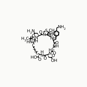 CC(=O)N[C@@H]1CSSC[C@H](C(=O)O)NC(=O)[C@H](CC(=O)O)NC(=O)CNC(=O)C(Cc2ccc(CN)cc2)NC(=O)[C@@H]2N(CSC2(C)C)C(=O)[C@H](CC(N)=O)NC1=O